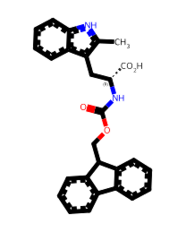 Cc1[nH]c2ccccc2c1C[C@@H](NC(=O)OCC1c2ccccc2-c2ccccc21)C(=O)O